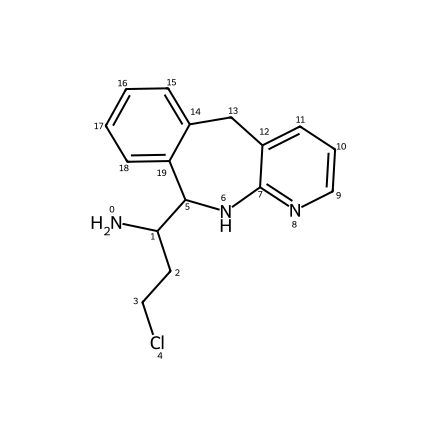 NC(CCCl)C1Nc2ncccc2Cc2ccccc21